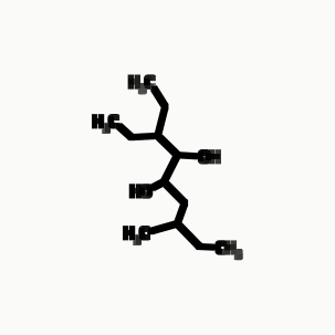 CCC(C)CC(O)C(O)C(CC)CC